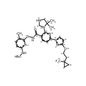 CCCCNc1ccc(C)c(SNC(=O)c2ccc(-n3ccc(OCCC4(C(F)(F)F)CC4)n3)nc2N2CNCC2(C)C)n1